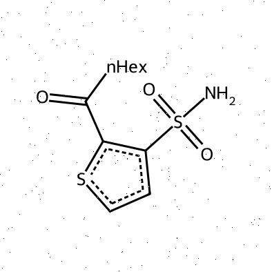 CCCCCCC(=O)c1sccc1S(N)(=O)=O